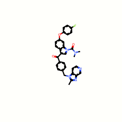 Cc1nc2cnccc2n1Cc1ccc(C(=O)c2cn(C(=O)N(C)C)c3cc(Oc4ccc(F)cc4)ccc23)cc1